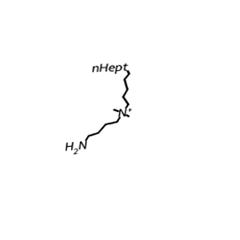 CCCCCCCCCCCC[N+](C)(C)CCCCN